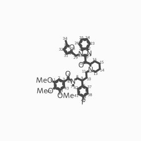 COc1cc(C(=O)N(C)CC(CCN2CCCCC2C(=O)c2nc3ccccc3n2Cc2ccc(C)o2)c2ccc(F)cc2)cc(OC)c1OC